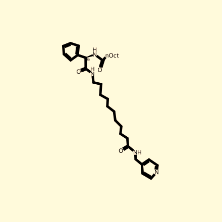 CCCCCCCCC(=O)N[C@@H](C(=O)NCCCCCCCCCCC(=O)NCc1ccncc1)c1ccccc1